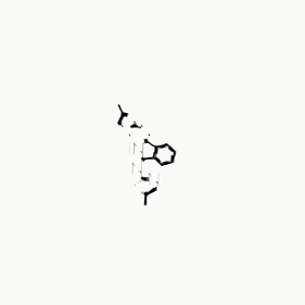 Cc1cnc(/N=C2\N/C(=N/c3ncc(C)s3)c3ccccc32)s1